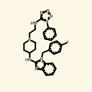 Fc1ccc(Cn2c(NC3CCN(CCNc4nnnn4-c4ccccc4)CC3)nc3ccccc32)cc1